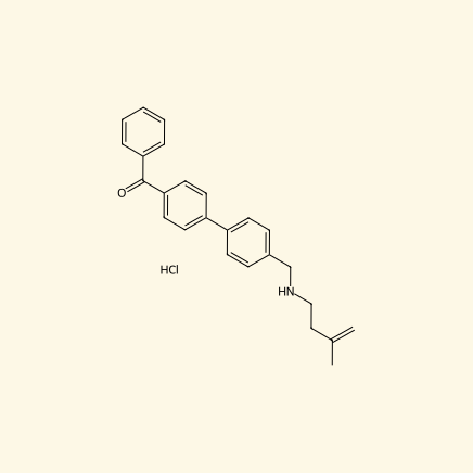 C=C(C)CCNCc1ccc(-c2ccc(C(=O)c3ccccc3)cc2)cc1.Cl